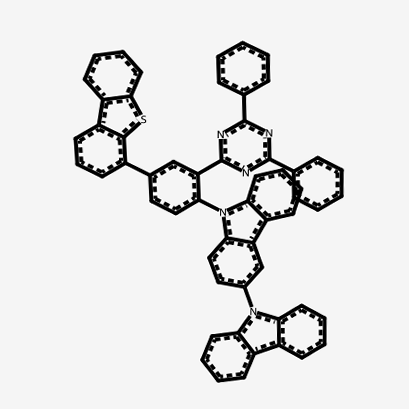 c1ccc(-c2nc(-c3ccccc3)nc(-c3cc(-c4cccc5c4sc4ccccc45)ccc3-n3c4ccccc4c4cc(-n5c6ccccc6c6ccccc65)ccc43)n2)cc1